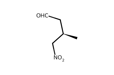 C[C@H](CC=O)C[N+](=O)[O-]